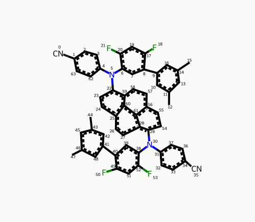 [C-]#[N+]c1ccc(N(c2cc(-c3cc(C)cc(C)c3)c(F)cc2F)c2ccc3ccc4c(N(c5ccc(C#N)cc5)c5cc(-c6cc(C)cc(C)c6)c(F)cc5F)ccc5ccc2c3c54)cc1